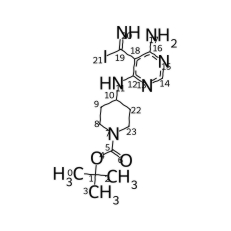 CC(C)(C)OC(=O)N1CCC(Nc2ncnc(N)c2C(=N)I)CC1